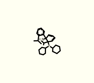 CC(C)c1ccccc1C1(N)C=CC=CC1(C(C)C)P(C1CCCCC1)C1CCCCC1